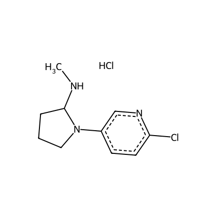 CNC1CCCN1c1ccc(Cl)nc1.Cl